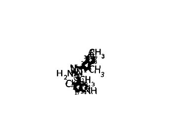 Cc1cc(-c2cnc(N)c(OC(C)c3c(Cl)ccc4c3CCNC4)n2)cc2c1CCN(C)C2